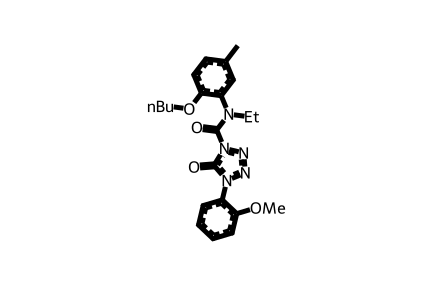 CCCCOc1ccc(C)cc1N(CC)C(=O)n1nnn(-c2ccccc2OC)c1=O